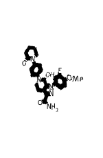 COc1ccc(-n2nc(C(N)=O)c3c2C(O)N(c2ccc(N4CCCCC4=O)cc2)CC3)cc1F